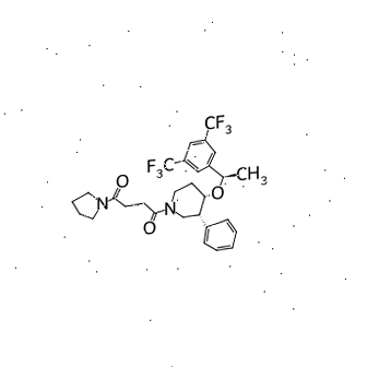 C[C@@H](O[C@H]1CCN(C(=O)CCC(=O)N2CCCC2)C[C@H]1c1ccccc1)c1cc(C(F)(F)F)cc(C(F)(F)F)c1